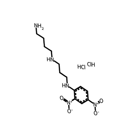 Cl.Cl.NCCCCNCCCNc1ccc([N+](=O)[O-])cc1[N+](=O)[O-]